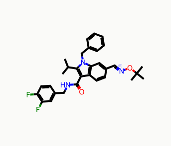 CC(C)c1c(C(=O)NCc2ccc(F)c(F)c2)c2ccc(/C=N/OC(C)(C)C)cc2n1Cc1ccccc1